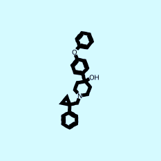 OC1(c2ccc(Oc3ccccc3)cc2)CCN(CC2(c3ccccc3)CC2)CC1